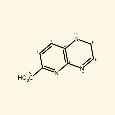 O=C(O)c1ccc2c(n1)N=CCS2